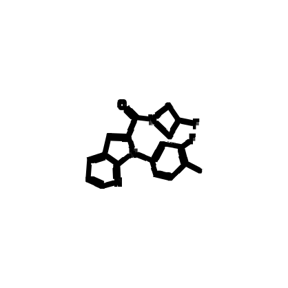 Cc1ccc(-n2c(C(=O)N3CC(F)C3)cc3cccnc32)cc1F